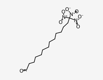 O=[C]CCCCCCCCCCCCC([N+](=O)[O-])([N+](=O)[O-])[N+](=O)[O-]